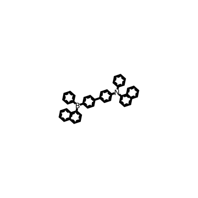 c1ccc(B(c2ccc(-c3ccc(N(c4ccccc4)c4cccc5ccccc45)cc3)cc2)c2cccc3ccccc23)cc1